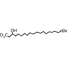 CCCCCCCCCCCCCCCCCCCCCCCCCC(O)CC(=O)O